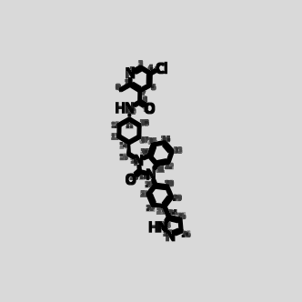 Cc1ncc(Cl)cc1C(=O)N[C@H]1CC[C@H](Cn2c(=O)n(-c3ccc(-c4ccn[nH]4)cc3)c3ccccc32)CC1